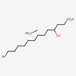 CC(=O)O.CC(C)CCCCCCCCCC(O)CCC(=O)O